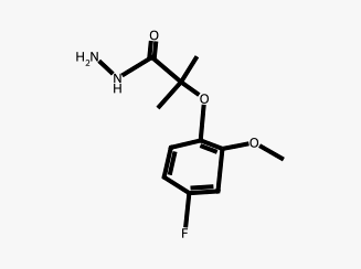 COc1cc(F)ccc1OC(C)(C)C(=O)NN